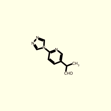 CC(C=O)c1ccc(-n2cnnc2)nc1